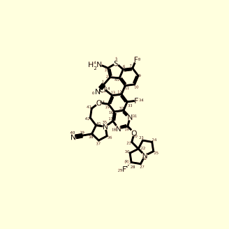 N#Cc1c(N)sc2c(F)ccc(-c3c(Cl)c4c5c(nc(OCC67CCCN6C[C@H](F)C7)nc5c3F)N3CCC(C#N)C3CCO4)c12